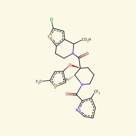 CCC[C@H]1N(C(=O)c2ncccc2C(F)(F)F)CCC[C@@]1(Oc1csc(C(F)(F)F)c1)C(=O)N1CCc2sc(Cl)cc2C1C(=O)O